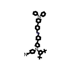 CC(C)(C)c1cc(N(c2ccc(C#N)cc2)c2ccc(-c3ccc(/C=C/c4ccc(-c5ccc(N(c6ccccc6)c6ccccc6)cc5)cc4)cc3)cc2)cc(C(C)(C)C)c1